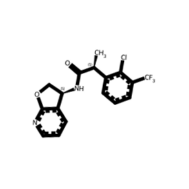 C[C@H](C(=O)N[C@@H]1COc2ncccc21)c1cccc(C(F)(F)F)c1Cl